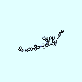 C=CC(=O)OCCCOc1ccc2cc(COc3ccc(/C=C/C(=O)Oc4ccc(OCc5cc(F)c(OCCCCCCOCC6(CC)COC6)c(F)c5)c(/C=N/N(CCO)c5nc6ccccc6s5)c4)cc3OC)ccc2c1